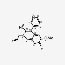 C=CCN1C=C2CC(=O)C(OC)C=C2C(c2cccnc2)=C1C#N